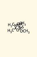 COP(=S)(OC)OC(C)=[N+](C)O